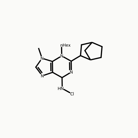 CCCCCCN1C(C2CC3CCC2C3)=NC(NCl)c2ncn(C)c21